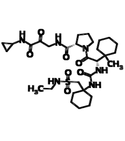 CCNS(=O)(=O)CC1(NC(=O)N[C@H](C(=O)N2CCC[C@H]2C(=O)NCC(=O)C(=O)NC2CC2)C2(C)CCCCC2)CCCCC1